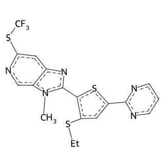 CCSc1cc(-c2ncccn2)sc1-c1nc2cc(SC(F)(F)F)ncc2n1C